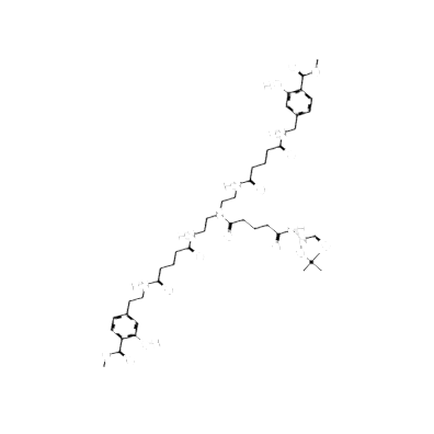 COC(=O)c1ccc(CCNC(=O)CCCC(=O)NCCN(CCNC(=O)CCCC(=O)NCc2ccc(C(=O)OC)c(O)c2)C(=O)CCCC(=O)NN(C=O)OC(C)(C)C)cc1O